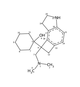 CN(C)CC1(C2(O)CCCCC2)Cc2ccc3c(c21)CCN3